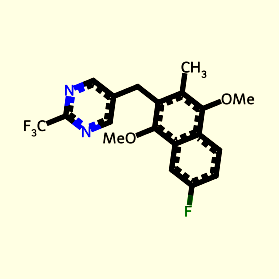 COc1c(C)c(Cc2cnc(C(F)(F)F)nc2)c(OC)c2cc(F)ccc12